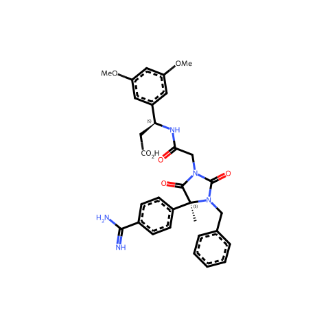 COc1cc(OC)cc([C@H](CC(=O)O)NC(=O)CN2C(=O)N(Cc3ccccc3)[C@@](C)(c3ccc(C(=N)N)cc3)C2=O)c1